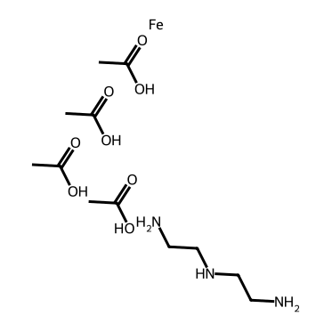 CC(=O)O.CC(=O)O.CC(=O)O.CC(=O)O.NCCNCCN.[Fe]